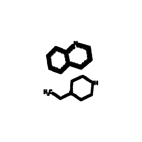 CCN1CCNCC1.c1ccc2ncccc2c1